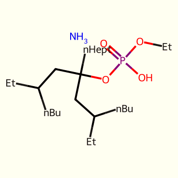 CCCCCCCC(CC(CC)CCCC)(CC(CC)CCCC)OP(=O)(O)OCC.N